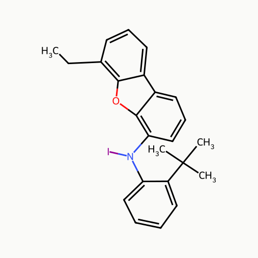 CCc1cccc2c1oc1c(N(I)c3ccccc3C(C)(C)C)cccc12